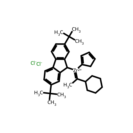 C/[C](C1CCCCC1)=[Zr+2](/[C]1=CC=CC1)[CH]1c2cc(C(C)(C)C)ccc2-c2ccc(C(C)(C)C)cc21.[Cl-].[Cl-]